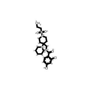 CCCS(=O)(=O)N1CCC(CNC(=O)c2ccc(Cl)cc2Cl)(N2CCCCC2)CC1